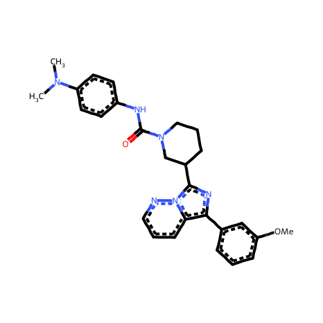 COc1cccc(-c2nc(C3CCCN(C(=O)Nc4ccc(N(C)C)cc4)C3)n3ncccc23)c1